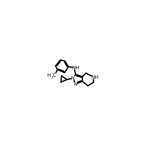 Cc1cccc(Nc2c3c(nn2C2CC2)CCNC3)c1